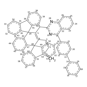 C=C/C=C\C1=C(Cc2nc(-c3ccc(-c4ccccc4)cc3)c3ccccc3n2)C2(c3ccccc3-c3ccccc32)c2ccccc2C12c1ccccc1-c1ccccc12